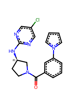 O=C(c1cccc(-n2cccc2)c1)N1CC[C@@H](Nc2ncc(Cl)cn2)C1